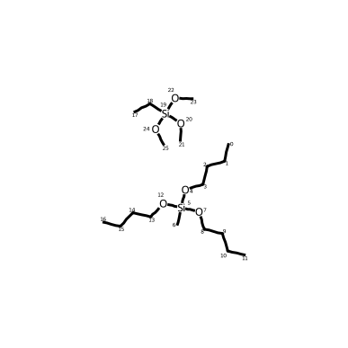 CCCCO[Si](C)(OCCCC)OCCCC.CC[Si](OC)(OC)OC